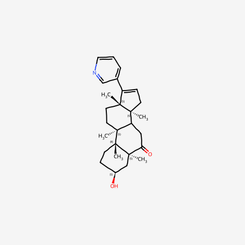 C[C@]12CC[C@H](O)C[C@]1(C)C(=O)CC1[C@]2(C)CC[C@]2(C)C(c3cccnc3)=CC[C@@]12C